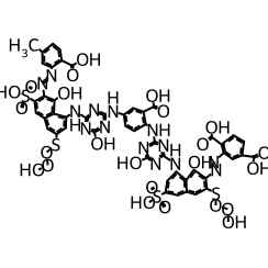 Cc1ccc(C(=O)O)c(N=Nc2c(S(=O)(=O)O)cc3cc(SOOO)cc(Nc4nc(O)nc(Nc5ccc(Nc6nc(O)nc(Nc7cc(S(=O)(=O)O)cc8cc(SOOO)c(N=Nc9cc(C(=O)O)ccc9C(=O)O)c(O)c78)n6)c(C(=O)O)c5)n4)c3c2O)c1